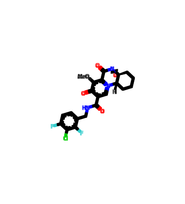 COc1c2n(cc(C(=O)NCc3ccc(F)c(Cl)c3F)c1=O)[C@H]1CCCC[C@]13OCCN3C2=O